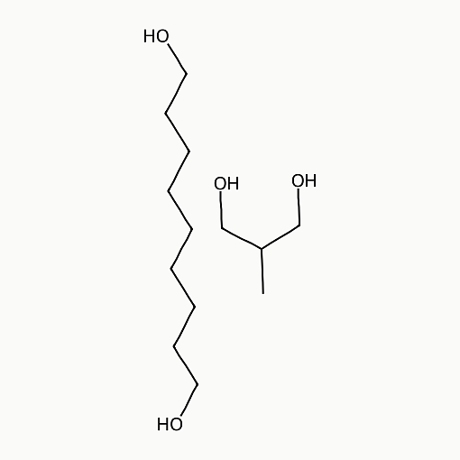 CC(CO)CO.OCCCCCCCCCO